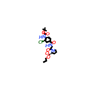 C=CCOC(=O)[C@H]1CCCN1C(=O)CNC(=O)c1ccc(NC(=O)OC(C)(C)C)c(Cl)c1